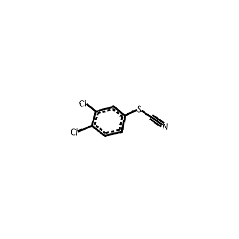 N#CSc1ccc(Cl)c(Cl)c1